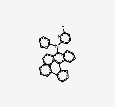 Fc1cccc(N(c2ccccc2)c2c3ccccc3c(-c3ccccc3-c3ccccc3)c3ccccc23)n1